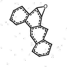 c1ccc2cc3c(cc2c1)c1c(c2ccccc23)O1